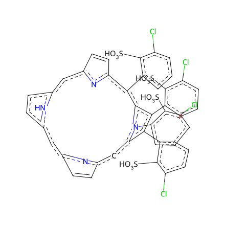 O=S(=O)(O)c1c(Cl)cccc1-c1c(-c2cccc(Cl)c2S(=O)(=O)O)c2c(-c3cccc(Cl)c3S(=O)(=O)O)c3nc(cc4ccc(cc5nc(cc1n2-c1cccc(Cl)c1S(=O)(=O)O)C=C5)[nH]4)C=C3